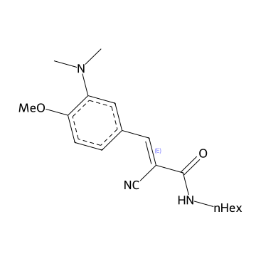 CCCCCCNC(=O)/C(C#N)=C/c1ccc(OC)c(N(C)C)c1